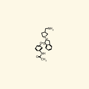 CC(=O)Nc1cccc(O[C@@H]2c3ccccc3C[C@H]2N2CCC(CN)C2)c1